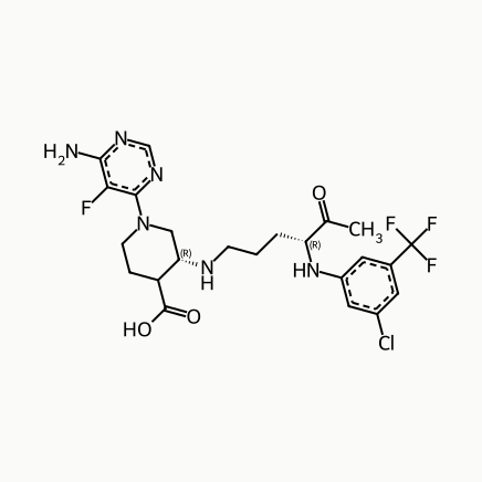 CC(=O)[C@@H](CCCN[C@H]1CN(c2ncnc(N)c2F)CCC1C(=O)O)Nc1cc(Cl)cc(C(F)(F)F)c1